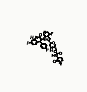 CN1CCC(NC(=O)OC[C@@H]2CO[C@H](CCc3c(F)cncc3N[C@H](C(N)=O)C(c3ccc(F)cc3)c3ccc(F)cc3)CN2)C1=O